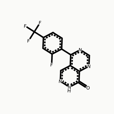 O=c1[nH]ncc2c(-c3ccc(C(F)(F)F)cc3F)ncnc12